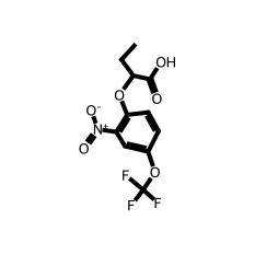 CCC(Oc1ccc(OC(F)(F)F)cc1[N+](=O)[O-])C(=O)O